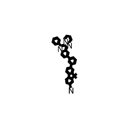 CC1(C)c2cc(C#N)ccc2-c2ccc(-c3cccc(-c4ccc5nc(-c6ccccc6)c6c(nc7ccccn76)c5c4)c3)cc21